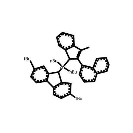 CCC[CH2][Zr]([CH2]CCC)([CH]1C(c2cccc3ccccc23)=C(C)c2ccccc21)[CH]1c2cc(C(C)(C)C)ccc2-c2ccc(C(C)(C)C)cc21